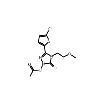 COCCn1c(-c2ccc(Cl)s2)nn(OC(C)=O)c1=O